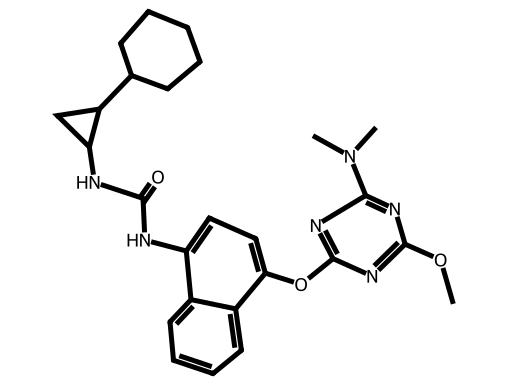 COc1nc(Oc2ccc(NC(=O)NC3CC3C3CCCCC3)c3ccccc23)nc(N(C)C)n1